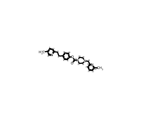 Cc1ccc(CCc2ccc(OC(=O)N3CCN(Cc4cccc(C)n4)CC3)cc2)nc1